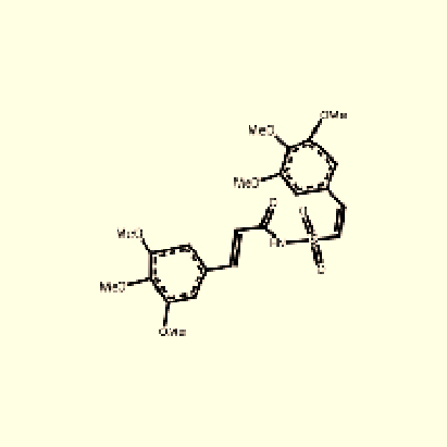 COc1cc(/C=C\S(=O)(=O)NC(=O)/C=C/c2cc(OC)c(OC)c(OC)c2)cc(OC)c1OC